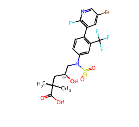 CC(C)(C[C@H](O)CN(c1ccc(-c2cc(Br)cnc2F)c(C(F)(F)F)c1)[SH](=O)=O)C(=O)O